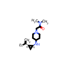 C=C(CC)[C@H]1C[C@@H]1NC1CCN(CC(=O)N(C)C)CC1